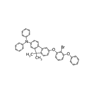 CC1(C)c2ccc(Oc3cccc(Oc4ccccc4)c3Br)cc2-c2ccc(N(c3ccccc3)c3ccccc3)cc21